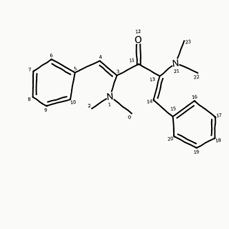 CN(C)C(=Cc1ccccc1)C(=O)C(=Cc1ccccc1)N(C)C